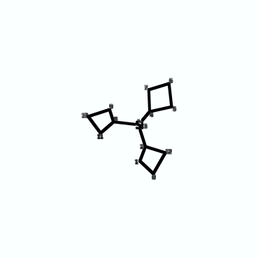 C1CC([Si](C2CCC2)C2CCC2)C1